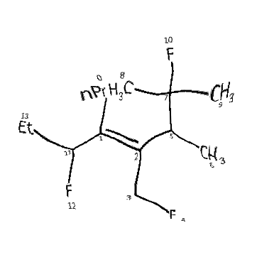 CCC/C(=C(/CF)C(C)C(C)(C)F)C(F)CC